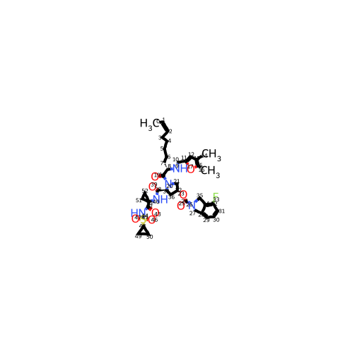 C/C=C\CCCCC[C@H](NCc1cc(C)c(C)o1)C(=O)N1C[C@H](OC(=O)N2Cc3cccc(F)c3C2)C[C@H]1C(=O)NC1(C(=O)NS(=O)(=O)C2CC2)CC1